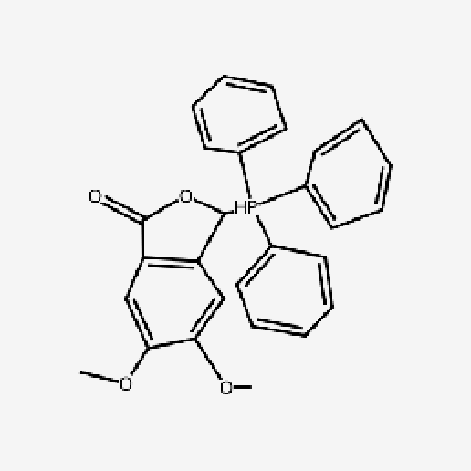 COc1cc2c(cc1OC)C([PH](c1ccccc1)(c1ccccc1)c1ccccc1)OC2=O